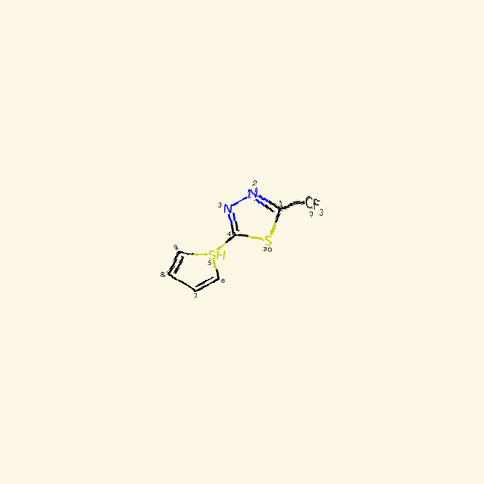 FC(F)(F)c1nnc([SH]2C=CC=C2)s1